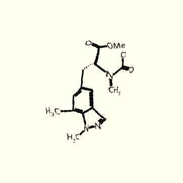 COC(=O)[C@@H](Cc1cc(C)c2c(cnn2C)c1)N(C)C(=O)Cl